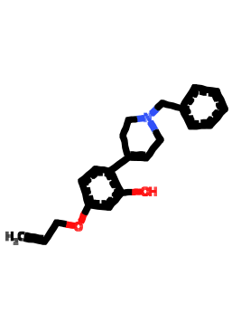 C=CCOc1ccc(C2=CCN(Cc3ccccc3)CC2)c(O)c1